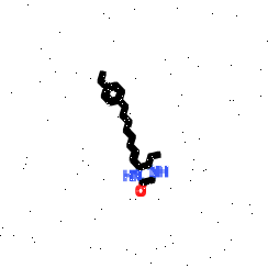 CCc1ccc(CCCCCC/C=C/C2NC(=O)CNC2CC)cc1